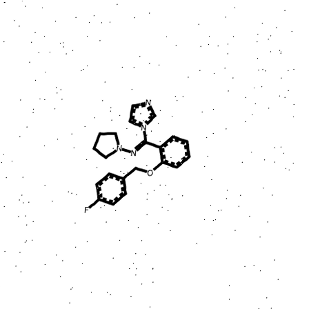 Fc1ccc(COc2ccccc2C(=NN2CCCC2)n2ccnc2)cc1